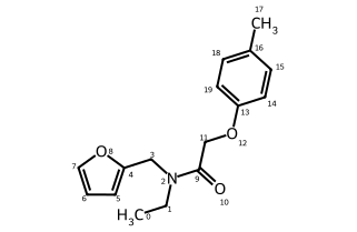 CCN(Cc1ccco1)C(=O)COc1ccc(C)cc1